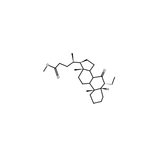 CC[C@H]1C(=O)C2C3CC[C@H]([C@H](C)CCC(=O)OC)[C@@]3(C)CCC2[C@@]2(C)CCCC[C@@H]12